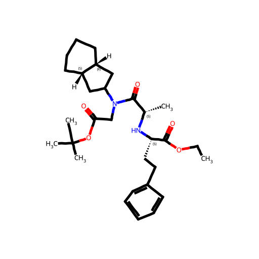 CCOC(=O)[C@H](CCc1ccccc1)N[C@@H](C)C(=O)N(CC(=O)OC(C)(C)C)C1C[C@H]2CCCC[C@H]2C1